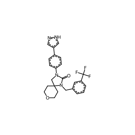 O=C1N(c2ccc(-c3cn[nH]c3)cc2)CC2(CCOCC2)N1Cc1cccc(C(F)(F)F)c1